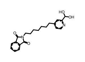 O=C1c2ccccc2C(=O)N1CCCCCCCc1ccnc(C(O)O)c1